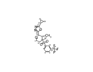 CCC1(S(=O)(=O)c2cccc(C(F)(F)F)c2)CCOC(c2nnc(C3CC3)o2)C1